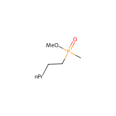 CCCCCP(C)(=O)OC